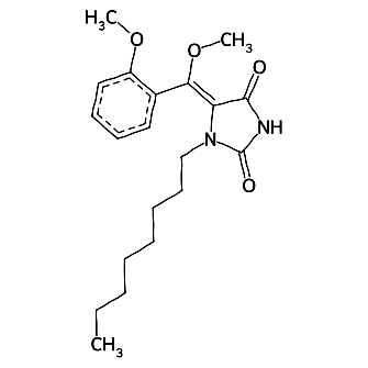 CCCCCCCCN1C(=O)NC(=O)C1=C(OC)c1ccccc1OC